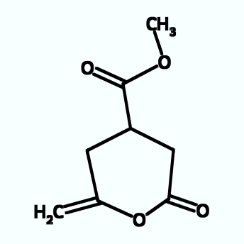 C=C1CC(C(=O)OC)CC(=O)O1